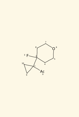 CC(=O)C1(C2(F)CCOCC2)CC1